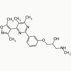 CNCC(O)COc1cccc(-c2nc(C)c(C)c(-c3c(C)noc3C)n2)c1